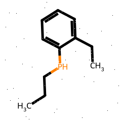 CCCPc1ccccc1CC